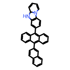 C1=CC2Nc3cc(-c4c5ccccc5c(-c5ccc6ccccc6c5)c5ccccc45)ccc3N2C=C1